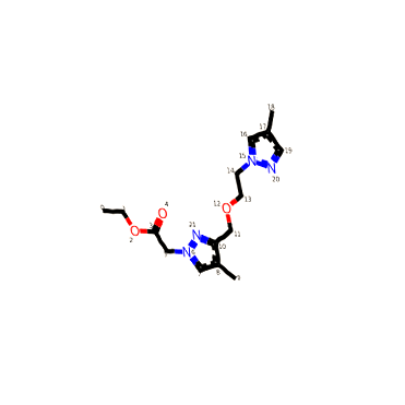 CCOC(=O)Cn1cc(C)c(COCCn2cc(C)cn2)n1